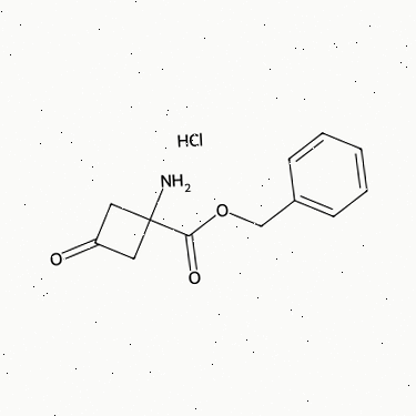 Cl.NC1(C(=O)OCc2ccccc2)CC(=O)C1